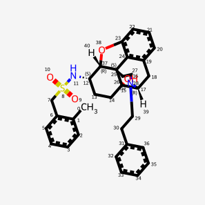 Cc1ccccc1CS(=O)(=O)N[C@H]1CC[C@@]2(O)[C@H]3Cc4cccc5c4[C@@]2(CCN3CCc2ccccc2)[C@H]1O5